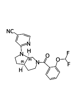 N#Cc1ccnc(N2CC[C@@H]3CCN(C(=O)c4ccccc4OC(F)F)C[C@@H]32)c1